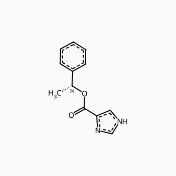 C[C@@H](OC(=O)c1c[nH]cn1)c1ccccc1